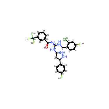 O=C(/N=C(/NCc1ccc(F)cc1Cl)NC1CC(c2ccc(F)cc2)NN1)c1cccc(C(F)(F)F)c1